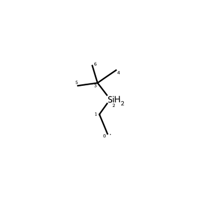 [CH2]C[SiH2]C(C)(C)C